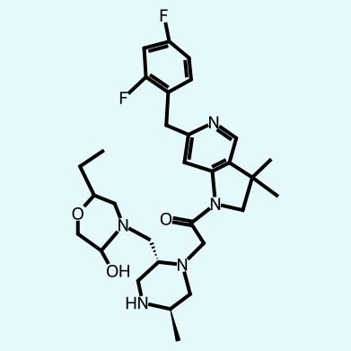 CCC1CN(C[C@H]2CN[C@H](C)CN2CC(=O)N2CC(C)(C)c3cnc(Cc4ccc(F)cc4F)cc32)C(O)CO1